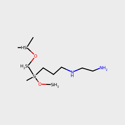 C[SiH](C)O[SiH2][Si](C)(CCCNCCN)O[SiH3]